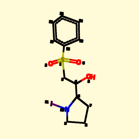 O=S(=O)(CC(O)C1CCCN1I)c1ccccc1